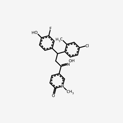 Cc1cc(Cl)ccc1C(C/C(=N\O)c1ccc(=O)n(C)c1)c1ccc(O)c(F)c1